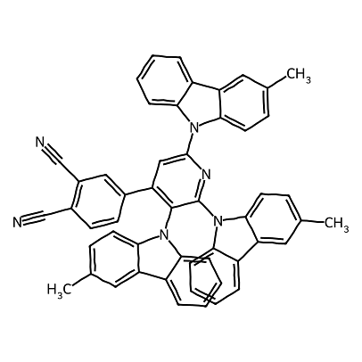 Cc1ccc2c(c1)c1ccccc1n2-c1cc(-c2ccc(C#N)c(C#N)c2)c(-n2c3ccccc3c3cc(C)ccc32)c(-n2c3ccccc3c3cc(C)ccc32)n1